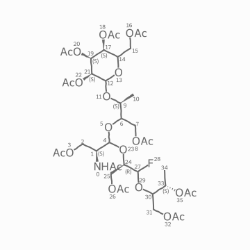 CC(=O)N[C@@H](COC(C)=O)C(OC(COC(C)=O)[C@H](C)OC1OC(COC(C)=O)[C@H](OC(C)=O)[C@H](OC(C)=O)[C@@H]1OC(C)=O)O[C@H](COC(C)=O)C(F)OC(COC(C)=O)[C@H](C)OC(C)=O